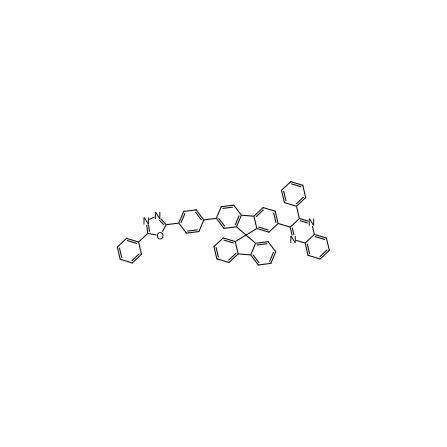 c1ccc(-c2nnc(-c3ccc(-c4ccc5c(c4)C4(c6ccccc6-c6ccccc64)c4cc(-c6nc7ccccc7nc6-c6ccccc6)ccc4-5)cc3)o2)cc1